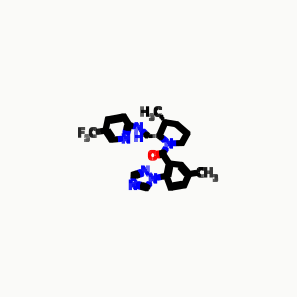 Cc1ccc(-n2cncn2)c(C(=O)N2CCC[C@@H](C)[C@H]2CNc2ccc(C(F)(F)F)cn2)c1